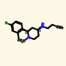 COCCN[C@H]1CCN(C(=O)O)[C@@H](c2ccc(F)cc2C)C1